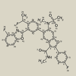 CNC(=O)c1c(-c2ccc(F)cc2)oc2cc(N(C)S(C)(=O)=O)c(-c3ccc(C(C)F)c(-c4nc5c(F)cccc5o4)c3)cc12